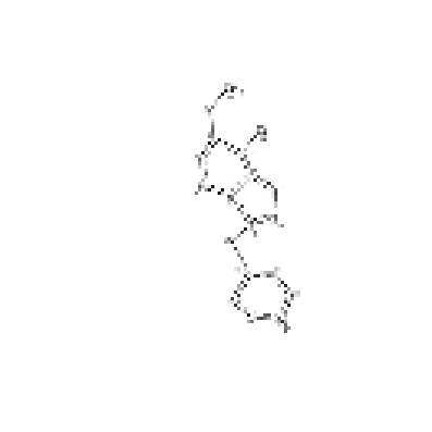 CCc1cnc2c(cnn2Cc2ccncc2)c1Cl